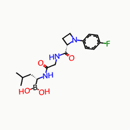 CC(C)C[C@H](NC(=O)CNC(=O)[C@@H]1CCN1c1ccc(F)cc1)B(O)O